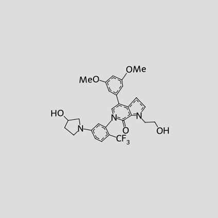 COc1cc(OC)cc(-c2cn(-c3cc(N4CCC(O)C4)ccc3C(F)(F)F)c(=O)c3c2ccn3CCO)c1